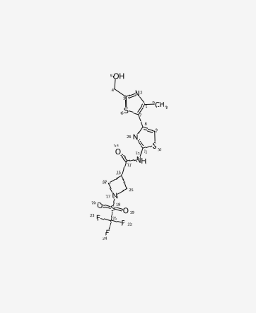 Cc1nc(CO)sc1-c1csc(NC(=O)C2CN(S(=O)(=O)C(F)(F)F)C2)n1